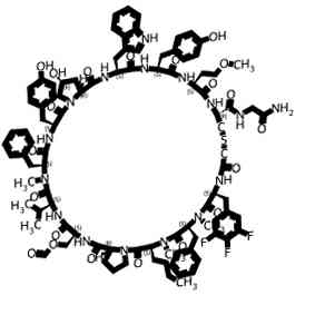 CCCC[C@H]1C(=O)N2CCC[C@@H]2C(=O)N[C@@H](COC=O)C(=O)N[C@@H](C(C)C)C(=O)N(C)[C@@H](Cc2ccccc2)C(=O)N[C@@H](Cc2ccc(O)cc2)C(=O)N2C[C@H](O)C[C@@H]2C(=O)N[C@@H](Cc2c[nH]c3ccccc23)C(=O)N[C@@H](Cc2ccc(O)cc2)C(=O)N[C@@H](CCOC)C(=O)N[C@H](C(=O)NCC(N)=O)CSCC(=O)N[C@@H](Cc2cc(F)c(F)c(F)c2)C(=O)N(C)[C@@H](Cc2ccccc2)C(=O)N1C